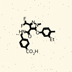 CCc1cc(Oc2c(C(=O)N[C@@H](C)c3ccc(C(=O)O)cc3)c(C(F)F)nn2C)ccc1C